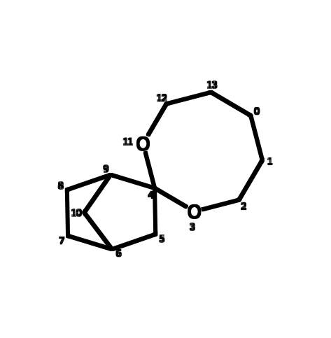 C1CCOC2(CC3CCC2C3)OCC1